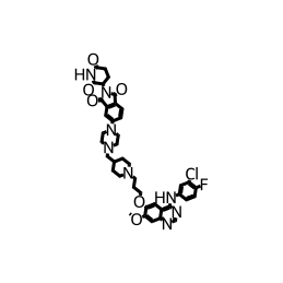 COc1cc2ncnc(Nc3ccc(F)c(Cl)c3)c2cc1OCCCN1CCC(CN2CCN(c3ccc4c(c3)C(=O)N(C3CCC(=O)NC3=O)C4=O)CC2)CC1